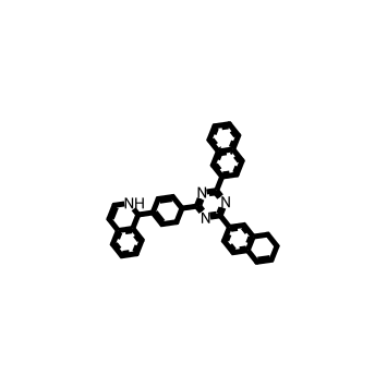 C1=Cc2ccc(-c3nc(-c4ccc5ccccc5c4)nc(C4C=CC(C5NC=Cc6ccccc65)=CC4)n3)cc2CC1